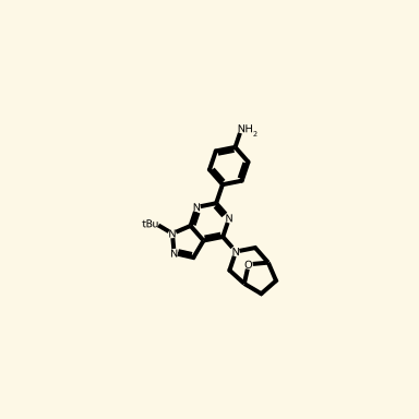 CC(C)(C)n1ncc2c(N3CC4CCC(C3)O4)nc(-c3ccc(N)cc3)nc21